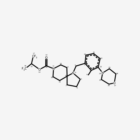 Cc1c(CN2CCCC23CCN(C(=O)OC(C(F)(F)F)C(F)(F)F)CC3)cccc1N1CCOCC1